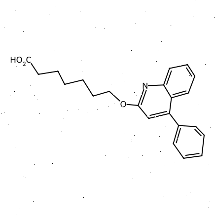 O=C(O)CCCCCCOc1cc(-c2ccccc2)c2ccccc2n1